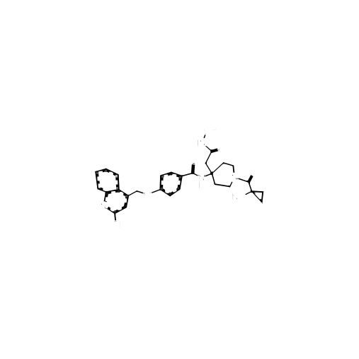 Cc1cc(COc2ccc(C(=O)NC3(CC(=O)NO)CCN(C(=O)C4(C#N)CC4)CC3)cc2)c2ccccc2n1